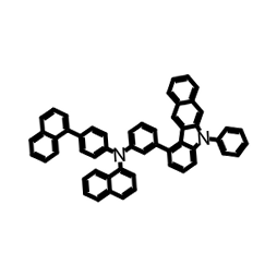 c1ccc(-n2c3cc4ccccc4cc3c3c(-c4cccc(N(c5ccc(-c6cccc7ccccc67)cc5)c5cccc6ccccc56)c4)cccc32)cc1